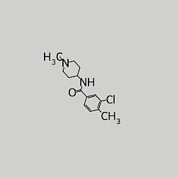 Cc1ccc(C(=O)NC2CCN(C)CC2)cc1Cl